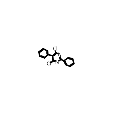 Clc1nc(-c2ccccc2)nc(Cl)c1-c1ccccc1